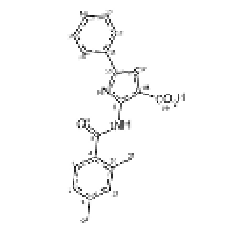 Cc1ccc(C(=O)Nc2nc(-c3ccccc3)sc2C(=O)O)c(C)c1